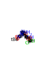 CC(C)(C)OC(=O)N1CCC(n2cc(C(=O)c3cccc(NS(=O)(=O)c4cc(Cl)cc(Cl)c4)c3)c3c(N)ncnc32)CC1